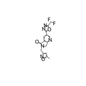 Cc1cc(CN2Cc3ncc(-c4nnc(C(F)F)o4)cc3C2=O)no1